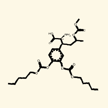 CCCCCOC(=O)Oc1ccc(C(CC(C)OC(=O)OC)[C@H](N)C(=O)O)cc1OC(=O)OCCCCC